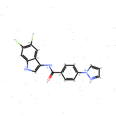 O=C(Nc1c[nH]c2cc(F)c(F)cc12)c1ccc(-n2cccn2)cc1